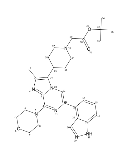 Cc1nc2c(N3CCOCC3)nc(-c3cccc4[nH]ncc34)cn2c1C1CCN(CC(=O)OC(C)(C)C)CC1